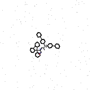 C/C=C\C(=C/C(C)N(c1ccc(-c2ccccc2)cc1)c1ccc(-c2ccccc2)cc1)C1(c2ccccc2)c2ccccc2-c2ccccc21